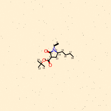 C=CN1C(=O)C(C(=O)OC(C)(C)C)CC1CCCC